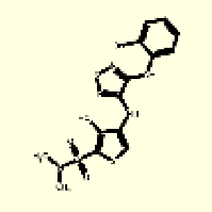 CN(C)S(=O)(=O)c1scc(Nc2nsnc2Nc2ccccc2Br)c1O